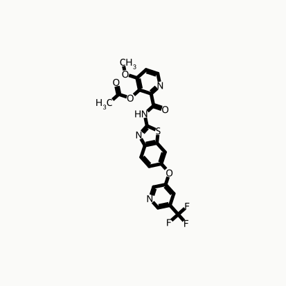 COc1ccnc(C(=O)Nc2nc3ccc(Oc4cncc(C(F)(F)F)c4)cc3s2)c1OC(C)=O